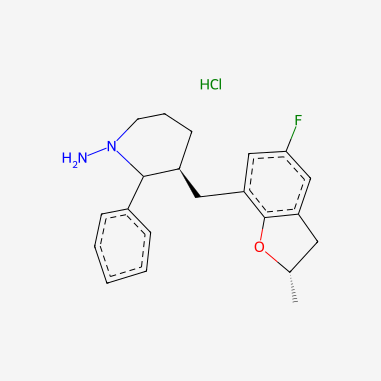 C[C@H]1Cc2cc(F)cc(C[C@@H]3CCCN(N)C3c3ccccc3)c2O1.Cl